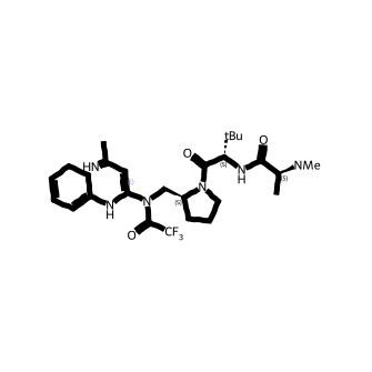 CN[C@@H](C)C(=O)N[C@H](C(=O)N1CCC[C@H]1CN(C(=O)C(F)(F)F)/C(=C/C(C)=N)NC1=CC=CCC1)C(C)(C)C